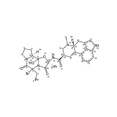 CC(C)CC1(Br)C(=O)N2CCC[C@H]2C2(O)O[C@](NC(=O)[C@@H]3C=C4c5cccc6[nH]cc(c56)C[C@H]4N(C)C3)(C(C)C)C(=O)N12